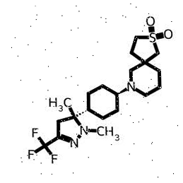 CN1N=C(C(F)(F)F)CC1(C)[C@H]1CC[C@H](N2CCCC3(CCS(=O)(=O)C3)C2)CC1